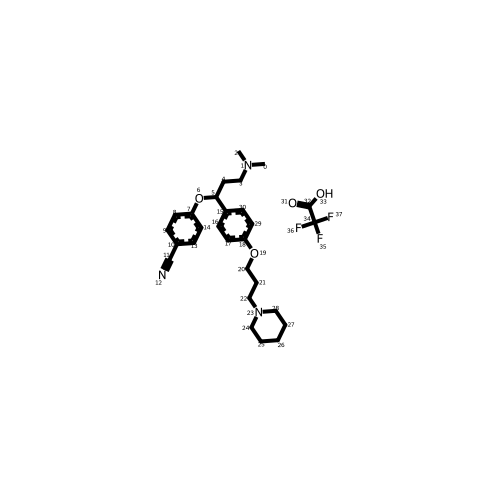 CN(C)CCC(Oc1ccc(C#N)cc1)c1ccc(OCCCN2CCCCC2)cc1.O=C(O)C(F)(F)F